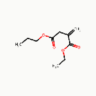 C=C(CC(=O)OCCC)C(=O)OCC